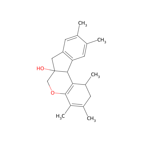 CC1=C(C)C2=C(C(C)C1)C1c3cc(C)c(C)cc3CC1(O)CO2